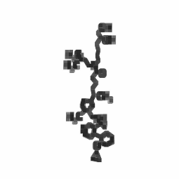 Cc1ccc(C(C)CCCC(=O)N(CCCCC(O)CO)CCN(C)C)cc1CNC1(c2cnccc2-c2ccccc2OC2CC2)CC1